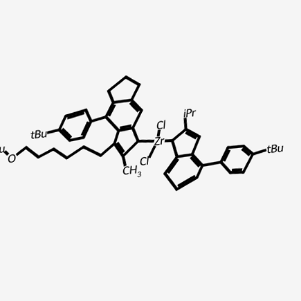 CC1=C(CCCCCCOC(C)(C)C)c2c(cc3c(c2-c2ccc(C(C)(C)C)cc2)CCC3)[CH]1[Zr]([Cl])([Cl])[CH]1C(C(C)C)=Cc2c(-c3ccc(C(C)(C)C)cc3)cccc21